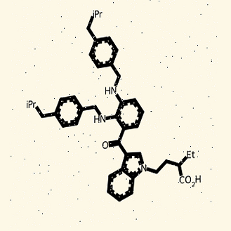 CCC(CCn1cc(C(=O)c2cccc(NCc3ccc(CC(C)C)cc3)c2NCc2ccc(CC(C)C)cc2)c2ccccc21)C(=O)O